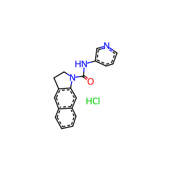 Cl.O=C(Nc1cccnc1)N1CCc2cc3ccccc3cc21